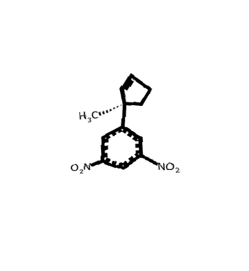 C[C@]1(c2cc([N+](=O)[O-])cc([N+](=O)[O-])c2)C=CCC1